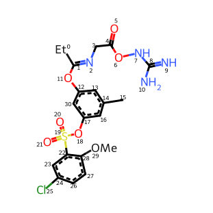 CCC(=NCC(=O)ONC(=N)N)Oc1cc(C)cc(OS(=O)(=O)c2cc(Cl)ccc2OC)c1